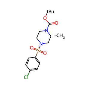 C[C@@H]1CN(S(=O)(=O)c2ccc(Cl)cc2)CCN1C(=O)OC(C)(C)C